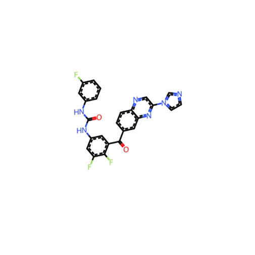 O=C(Nc1cccc(F)c1)Nc1cc(F)c(F)c(C(=O)c2ccc3ncc(-n4ccnc4)nc3c2)c1